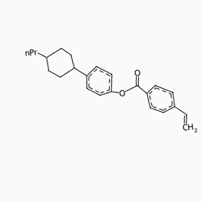 C=Cc1ccc(C(=O)Oc2ccc(C3CCC(CCC)CC3)cc2)cc1